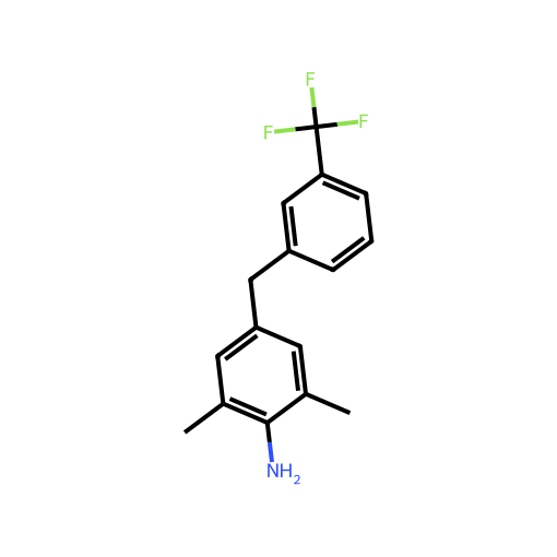 Cc1cc(Cc2cccc(C(F)(F)F)c2)cc(C)c1N